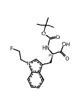 CC(C)(C)OC(=O)N[C@H](Cc1cn(CCF)c2ccccc12)C(=O)O